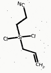 C=CC[Si](Cl)(Cl)CCC#N